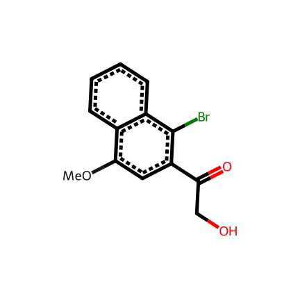 COc1cc(C(=O)CO)c(Br)c2ccccc12